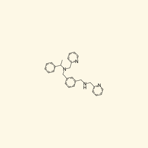 CC(c1ccccc1)N(Cc1cccc(CNCc2ccccn2)c1)Cc1ccccn1